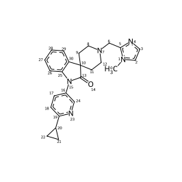 Cn1ccnc1CN1CCC2(CC1)C(=O)N(c1ccc(C3CC3)nc1)c1ccccc12